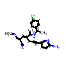 C=N/C=C(C#N)\C=C(/CC#Cc1ccc(N)nc1)C(=C)NC(C)c1ccc(F)cc1